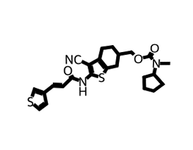 CN(C(=O)OCC1CCc2c(sc(NC(=O)C=Cc3ccsc3)c2C#N)C1)C1CCCC1